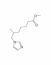 COC(=O)CCCCC(C)Cn1ccnc1